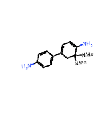 CNC1(NC)CC(c2ccc(N)cc2)=CC=C1N